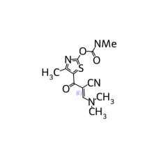 CNC(=O)Oc1nc(C)c(C(=O)/C(C#N)=C/N(C)C)s1